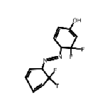 OC1=CC(F)(F)C(N=NC2C=CC=CC2(F)F)C=C1